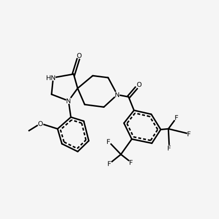 COc1ccccc1N1CNC(=O)C12CCN(C(=O)c1cc(C(F)(F)F)cc(C(F)(F)F)c1)CC2